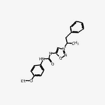 CCOc1ccc(NC(=O)[N-]c2c[n+](C(C)Cc3ccccc3)no2)cc1